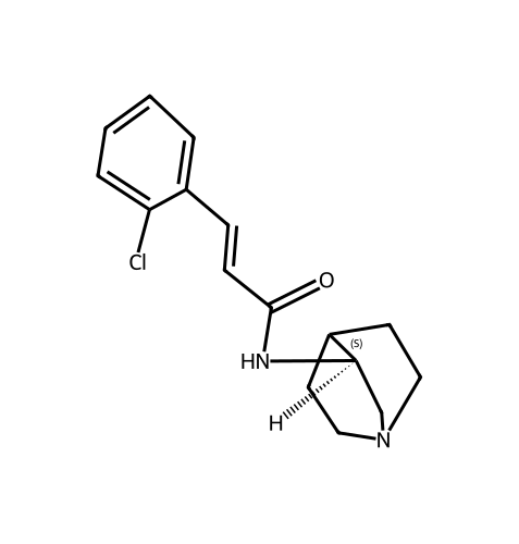 O=C(C=Cc1ccccc1Cl)N[C@@H]1CN2CCC1CC2